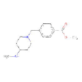 CNC1CCN(Cc2ccc(C(=O)OC)cc2)CC1